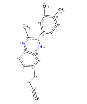 C#CCCc1ccc2nc(C)c(-c3ccc(C)c(C)c3)nc2c1